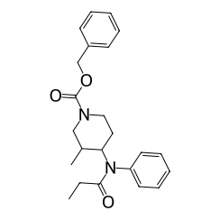 CCC(=O)N(c1ccccc1)C1CCN(C(=O)OCc2ccccc2)CC1C